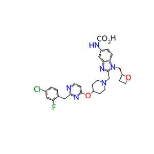 O=C(O)Nc1ccc2c(c1)nc(CN1CCC(Oc3ccnc(Cc4ccc(Cl)cc4F)n3)CC1)n2C[C@@H]1CCO1